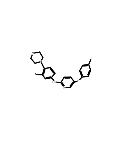 Fc1ccc(Oc2ccc(Nc3ccc(N4CCOCC4)c(F)c3)nc2)cc1